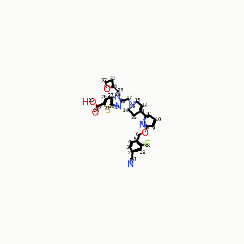 N#Cc1ccc(COc2cccc(C3=CCN(Cc4nc5sc(C(=O)O)cc5n4C[C@@H]4CCO4)CC3)n2)c(F)c1